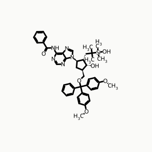 COc1ccc(C(OC[C@H]2C[C@@H](n3cnc4c(NC(=O)c5ccccc5)ncnc43)[C@H](CC(C)(C)[Si](C)(C)O)[C@@H]2O)(c2ccccc2)c2ccc(OC)cc2)cc1